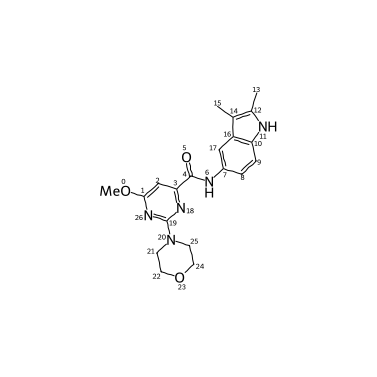 COc1cc(C(=O)Nc2ccc3[nH]c(C)c(C)c3c2)nc(N2CCOCC2)n1